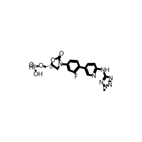 Cn1nnc(Nc2ccc(-c3ccc(N4C[C@H](CO[PH](=O)O)OC4=O)cc3F)cn2)n1